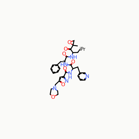 CC(C)CC(NC(=O)[C@H](Cc1ccccc1)NC(=O)C(Cc1cccnc1)NC(=O)c1cc(CN2CCOCC2)on1)C(=O)C1(C)CO1